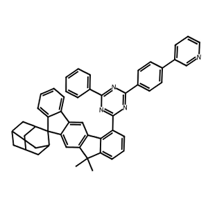 CC1(C)c2cc3c(cc2-c2c(-c4nc(-c5ccccc5)nc(-c5ccc(-c6cccnc6)cc5)n4)cccc21)-c1ccccc1C31C2CC3CC(C2)CC1C3